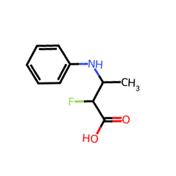 CC(Nc1ccccc1)C(F)C(=O)O